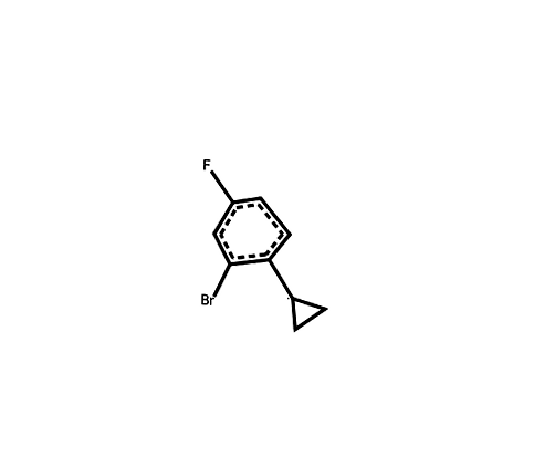 Fc1ccc([C]2CC2)c(Br)c1